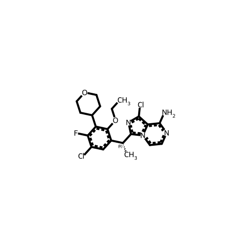 CCOc1c([C@@H](C)c2nc(Cl)c3c(N)nccn23)cc(Cl)c(F)c1C1CCOCC1